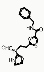 O=CN(CCc1nc(C(=O)NCc2ccccc2)cs1)c1ncc[nH]1